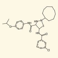 CC(C)Oc1ccc(NC(=O)C2NN(C3CCCCCCCC3)SC2NC(=O)c2cccc(Cl)c2)cc1